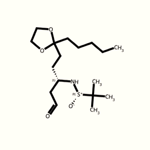 CCCCCC1(CC[C@@H](CC=O)N[S@@+]([O-])C(C)(C)C)OCCO1